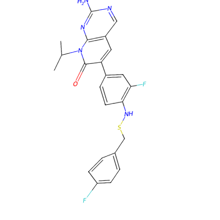 CC(C)n1c(=O)c(-c2ccc(NSCc3ccc(F)cc3)c(F)c2)cc2cnc(N)nc21